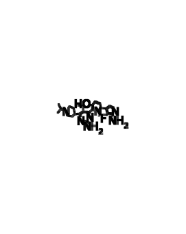 CCc1c(C2=C(O)C=CC(c3ccnc(N)c3F)N2C)nc(N)nc1C1CCN(C(C)C)CC1